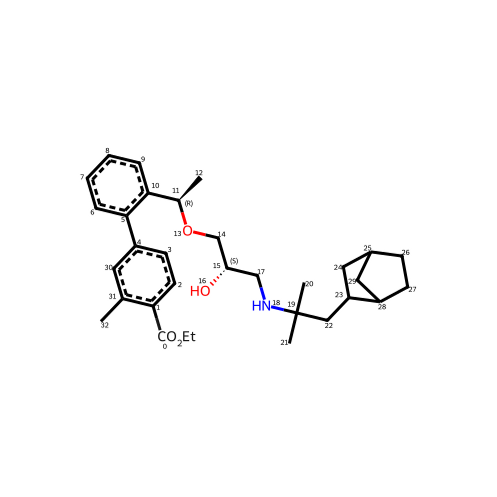 CCOC(=O)c1ccc(-c2ccccc2[C@@H](C)OC[C@@H](O)CNC(C)(C)CC2CC3CCC2C3)cc1C